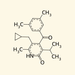 Cc1cc(C)cc(C(=O)c2c(CC3CC3)c(C)[nH]c(=O)c2C(C)C)c1